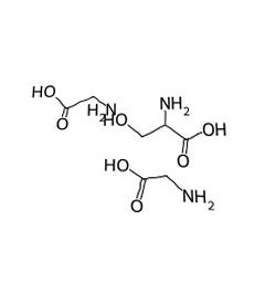 NC(CO)C(=O)O.NCC(=O)O.NCC(=O)O